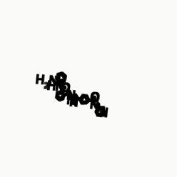 Nc1ccccc1NC(=O)c1ccccc1Cn1cc(-c2ccc(C(=O)N=Cc3cccnc3)cc2)nn1